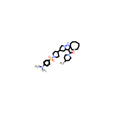 CC1CCN(C(=O)C2C3CC(C4CCN(S(=O)(=O)c5ccc(N(C)C)cc5)CC4)CCN3NC23CCCCCCCC3)CC1